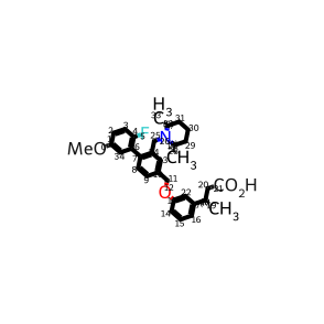 COc1ccc(F)c(-c2ccc(COc3cccc([C@H](C)CC(=O)O)c3)cc2CN2[C@@H](C)CCC[C@@H]2C)c1